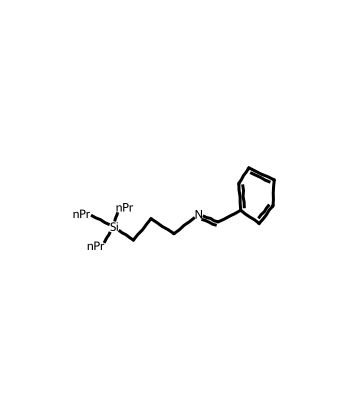 CCC[Si](CCC)(CCC)CCCN=Cc1ccccc1